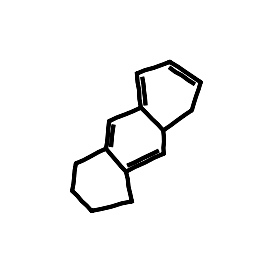 C1=CCC2C=C3CCCCC3=CC2=C1